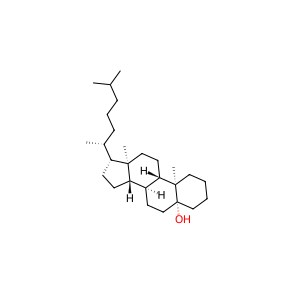 CC(C)CCC[C@@H](C)[C@H]1CC[C@H]2[C@@H]3CC[C@]4(O)CCCC[C@]4(C)[C@H]3CC[C@]12C